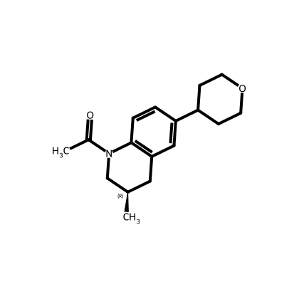 CC(=O)N1C[C@H](C)Cc2cc(C3CCOCC3)ccc21